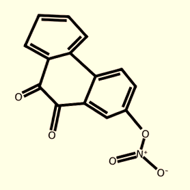 O=C1C(=O)c2cc(O[N+](=O)[O-])ccc2-c2ccccc21